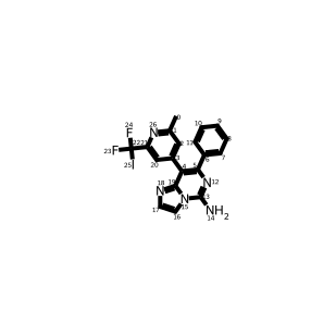 Cc1cc(-c2c(-c3ccccc3)nc(N)n3ccnc23)cc(C(F)(F)I)n1